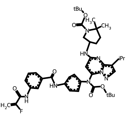 C=C(F)C(=O)Nc1cccc(C(=O)Nc2ccc(N(C(=O)OC(C)(C)C)c3cc(NC4CCC(C)(C)N(C(=O)OC(C)(C)C)C4)nc4c(C(C)C)cnn34)cc2)c1